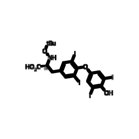 CC(C)(C)ON[C@@H](Cc1cc(I)c(Oc2cc(I)c(O)c(I)c2)c(I)c1)C(=O)O